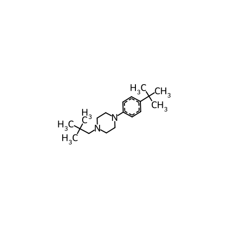 CC(C)(C)CN1CCN(c2ccc(C(C)(C)C)cc2)CC1